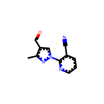 Cc1nn(-c2ncccc2C#N)cc1C=O